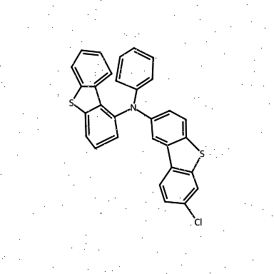 Clc1ccc2c(c1)sc1ccc(N(c3ccccc3)c3cccc4sc5ccccc5c34)cc12